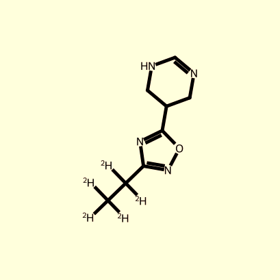 [2H]C([2H])([2H])C([2H])([2H])c1noc(C2CN=CNC2)n1